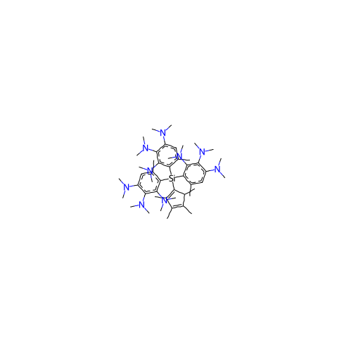 CC1=C(C)C(C)C([Si](c2c(C)cc(N(C)C)c(N(C)C)c2N(C)C)(c2c(C)cc(N(C)C)c(N(C)C)c2N(C)C)c2c(C)cc(N(C)C)c(N(C)C)c2N(C)C)=C1C